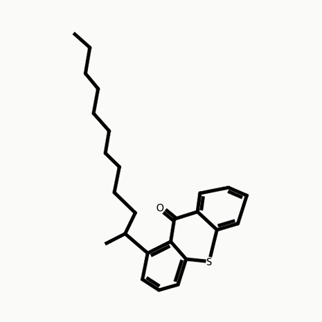 CCCCCCCCCCC(C)c1cccc2sc3ccccc3c(=O)c12